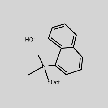 CCCCCCCC[N+](C)(C)c1cccc2ccccc12.[OH-]